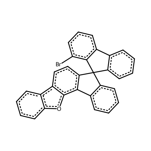 Brc1cccc2c1C1(c3ccccc3-2)c2ccccc2-c2c1ccc1c2oc2ccccc21